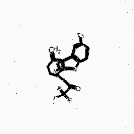 C=C1CCC2C3=Nc4ccc(Cl)cc4C13CCN2C(=O)C(F)(F)F